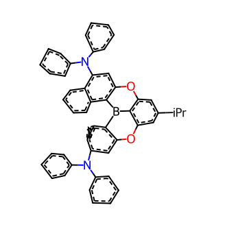 CC(C)c1cc2c3c(c1)Oc1cc(N(c4ccccc4)c4ccccc4)c4ccccc4c1B3c1c(cc(N(c3ccccc3)c3ccccc3)c3ccccc13)O2